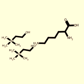 C[N+](C)(C)CCO.C[N+](C)(C)CCO.NCCCCC(N)C(=O)O